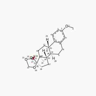 COc1ccc2c(c1)CC[C@@H]1[C@@H]2CC[C@@]2(C)[C@H]1CC[C@@]21OCOC12COCO2